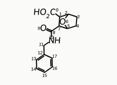 O=C(O)C1C2CCC(O2)C1C(=O)NCc1ccccc1